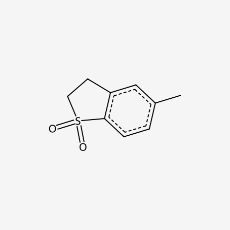 Cc1ccc2c(c1)CCS2(=O)=O